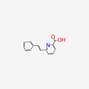 O=C(O)c1cccc(C=Cc2ccccc2)n1